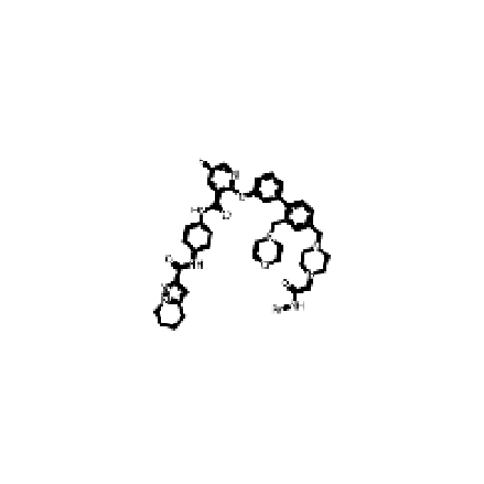 CC(C)NC(=O)CN1CCN(Cc2ccc(-c3cccc(Oc4ncc(F)cc4C(=O)NC4CCC(NC(=O)c5cc6n(n5)CCCC6)CC4)c3)c(CN3CCOCC3)c2)CC1